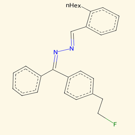 CCCCCCc1ccccc1C=NN=C(c1ccccc1)c1ccc(CCF)cc1